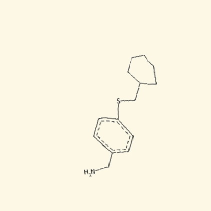 NCc1ccc(SCC2CCCCC2)cc1